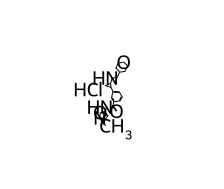 Cc1cc(NC(=O)c2cccc(C3CC3NCC3CCOCC3)c2)on1.Cl